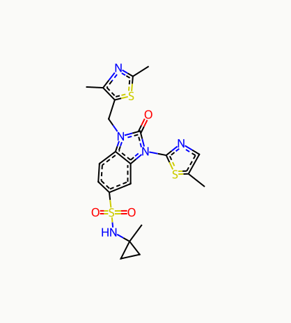 Cc1cnc(-n2c(=O)n(Cc3sc(C)nc3C)c3ccc(S(=O)(=O)NC4(C)CC4)cc32)s1